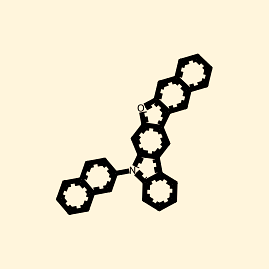 c1ccc2cc(-n3c4ccccc4c4cc5c(cc43)oc3cc4ccccc4cc35)ccc2c1